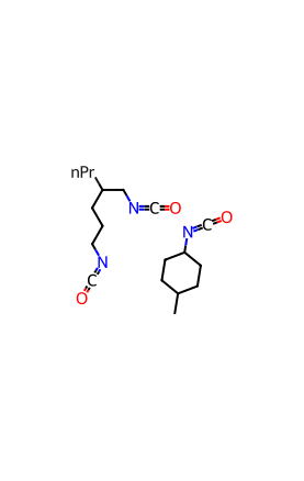 CC1CCC(N=C=O)CC1.CCCC(CCCN=C=O)CN=C=O